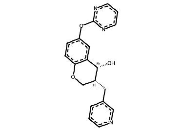 O[C@H]1c2cc(Oc3ncccn3)ccc2OC[C@H]1Cc1cccnc1